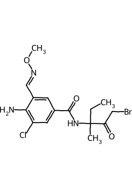 CCC(C)(NC(=O)c1cc(Cl)c(N)c(C=NOC)c1)C(=O)CBr